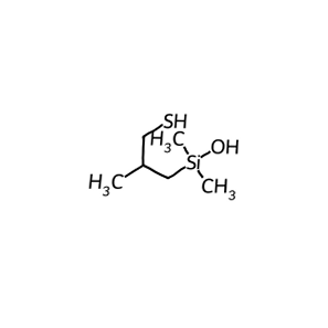 CC(CS)C[Si](C)(C)O